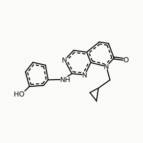 O=c1ccc2cnc(Nc3cccc(O)c3)nc2n1CC1CC1